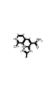 Cc1nc2c(C(N)=O)cc3ccnc(Cl)c3n2n1